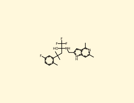 Cc1cc2[nH]c(CNC(O)(CC(C)(C)c3cc(F)ccc3C)C(F)(F)F)cc2c(C)n1